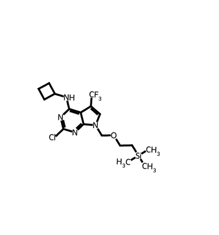 C[Si](C)(C)CCOCn1cc(C(F)(F)F)c2c(NC3CCC3)nc(Cl)nc21